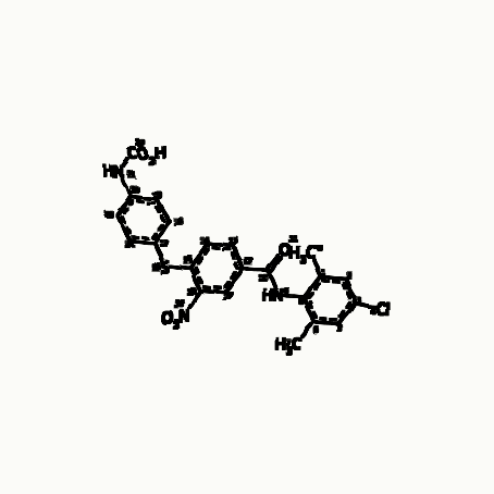 Cc1cc(Cl)cc(C)c1NC(=O)c1ccc(Sc2ccc(NC(=O)O)cc2)c([N+](=O)[O-])c1